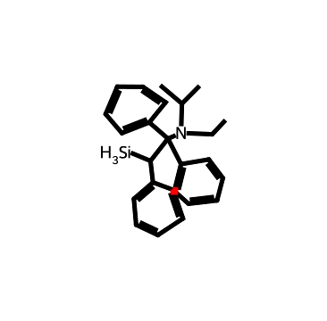 CCN(C(C)C)C(c1ccccc1)(c1ccccc1)C([SiH3])c1ccccc1